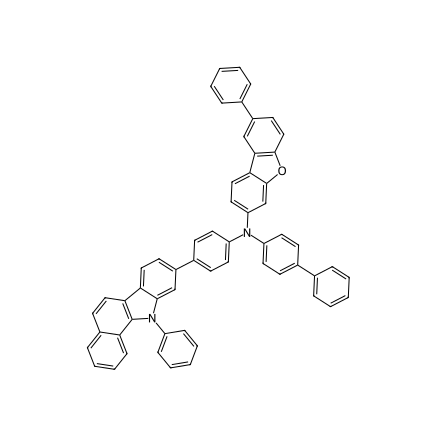 c1ccc(-c2ccc(N(c3ccc(-c4ccc5c6ccc7ccccc7c6n(-c6ccccc6)c5c4)cc3)c3ccc4c(c3)oc3ccc(-c5ccccc5)cc34)cc2)cc1